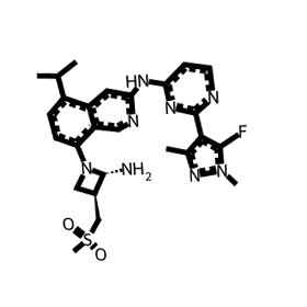 Cc1nn(C)c(F)c1-c1nccc(Nc2cc3c(C(C)C)ccc(N4C[C@H](CS(C)(=O)=O)[C@H]4N)c3cn2)n1